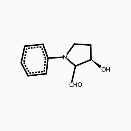 O=CC1[C@H](O)CCN1c1ccccc1